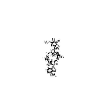 CO[C@H]1[C@H]2C[P@@](=O)(S)OCC3C[C@@H](n4cnc5c(N)ncnc54)[C@H](O)[C@@H]3O[P@@](=O)(S)OC[C@H]1O[C@H]2n1cnc2c(=O)[nH]c(N)nc21